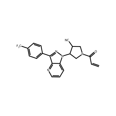 C=CC(=O)N1CC(C#N)C(n2nc(-c3ccc(C(F)(F)F)cc3)c3ncccc32)C1